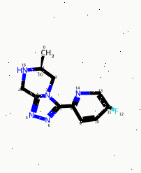 C[C@H]1Cn2c(nnc2-c2ccc(F)cn2)CN1